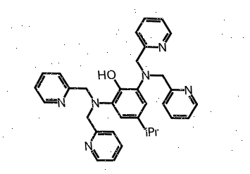 CC(C)c1cc(N(Cc2ccccn2)Cc2ccccn2)c(O)c(N(Cc2ccccn2)Cc2ccccn2)c1